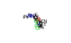 CCC1(c2nsc(Oc3cc(C)c(N=CN(C)C(C)C)cc3Cl)c2C#N)C(C)C1(Cl)Cl